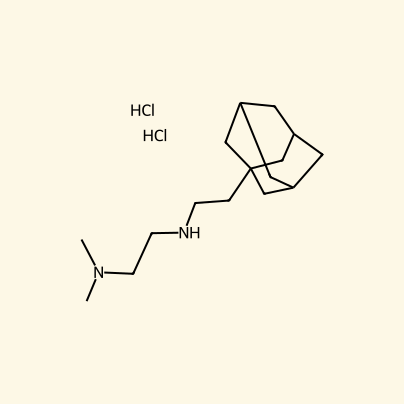 CN(C)CCNCCC12CC3CC(CC(C3)C1)C2.Cl.Cl